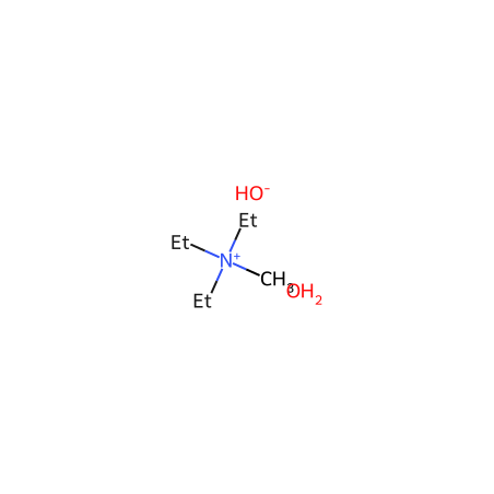 CC[N+](C)(CC)CC.O.[OH-]